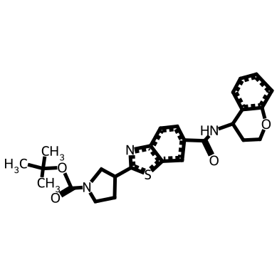 CC(C)(C)OC(=O)N1CCC(c2nc3ccc(C(=O)NC4CCOc5ccccc54)cc3s2)C1